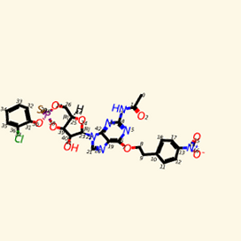 CC(=O)Nc1nc(OCCc2ccc([N+](=O)[O-])cc2)c2ncn([C@@H]3O[C@@H]4COP(=S)(Oc5ccccc5Cl)OC4C3O)c2n1